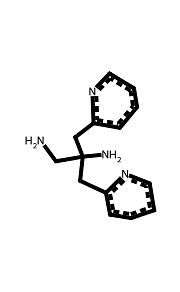 NCC(N)(Cc1ccccn1)Cc1ccccn1